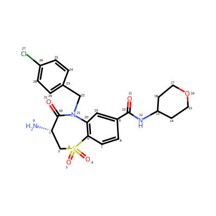 N[C@H]1CS(=O)(=O)c2ccc(C(=O)NC3CCOCC3)cc2N(Cc2ccc(Cl)cc2)C1=O